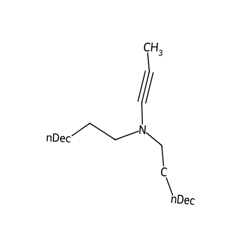 CC#CN(CCCCCCCCCCCC)CCCCCCCCCCCC